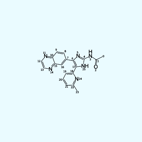 CC(=O)Nc1nc(-c2ccc3nccnc3c2)c(-c2cccc(C)n2)[nH]1